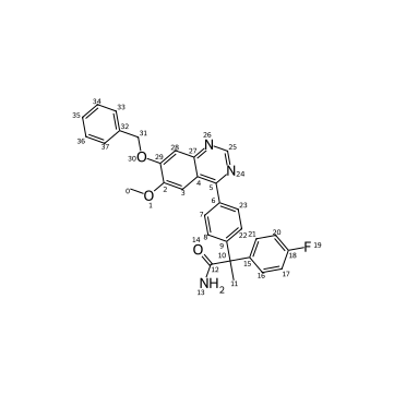 COc1cc2c(-c3ccc(C(C)(C(N)=O)c4ccc(F)cc4)cc3)ncnc2cc1OCc1ccccc1